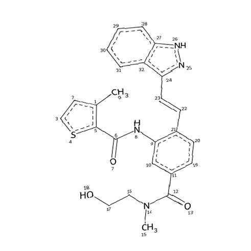 Cc1ccsc1C(=O)Nc1cc(C(=O)N(C)CCO)ccc1C=Cc1n[nH]c2ccccc12